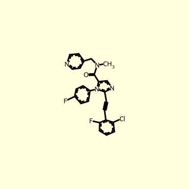 CN(Cc1ccncc1)C(=O)c1cnc(C#Cc2c(F)cccc2Cl)n1-c1ccc(F)cc1